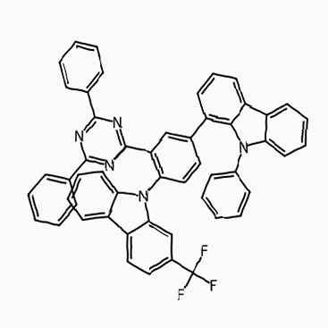 FC(F)(F)c1ccc2c3ccccc3n(-c3ccc(-c4cccc5c6ccccc6n(-c6ccccc6)c45)cc3-c3nc(-c4ccccc4)nc(-c4ccccc4)n3)c2c1